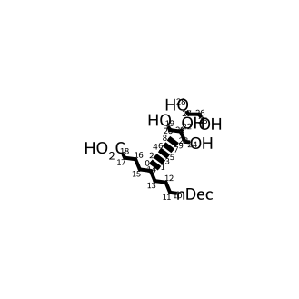 C=C.C=C.C=C.C=C.C=C.CCCCCCCCCCCCCCCCCC(=O)O.OCC(O)CO.OCCO